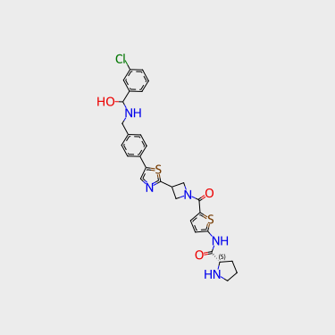 O=C(Nc1ccc(C(=O)N2CC(c3ncc(-c4ccc(CNC(O)c5cccc(Cl)c5)cc4)s3)C2)s1)[C@@H]1CCCN1